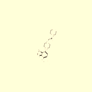 O=C(CN1CCN(c2ccc([N+](=O)[O-])c3nonc23)CC1)N1CCOCC1